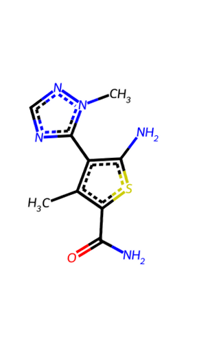 Cc1c(C(N)=O)sc(N)c1-c1ncnn1C